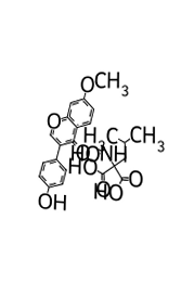 CC(C)CC(NO)(C(=O)O)C(=O)O.COc1ccc2c(=O)c(-c3ccc(O)cc3)coc2c1